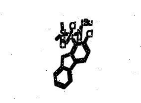 C[SiH](C)[Zr]([Cl])([Cl])([NH]C(C)(C)C)[c]1c(Cl)ccc2c1Cc1ccccc1-2